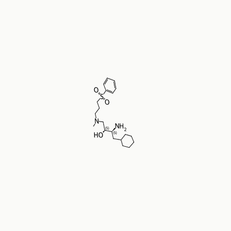 CN(CCCS(=O)(=O)c1ccccc1)C[C@H](O)[C@@H](N)CC1CCCCC1